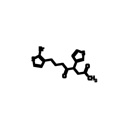 CC(=O)CC(C(=O)CCCc1ccsc1Br)c1ccsc1